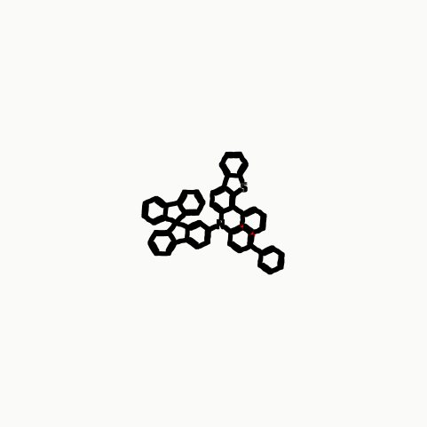 c1ccc(-c2ccc(N(c3ccc4c(c3)C3(c5ccccc5-c5ccccc53)c3ccccc3-4)c3ccc4c(sc5ccccc54)c3-c3ccccc3)cc2)cc1